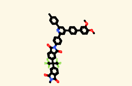 COc1ccc(-c2ccc(-c3cc(-c4ccc(C)cc4)nc(-c4ccc(N5C(=O)c6ccc(C(c7ccc8c(c7)C(=O)N(C)C8=O)(C(F)(F)F)C(F)(F)F)cc6C5=O)cc4)c3)cc2)cc1OC